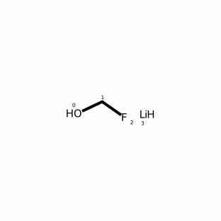 OCF.[LiH]